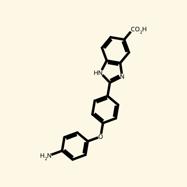 Nc1ccc(Oc2ccc(-c3nc4cc(C(=O)O)ccc4[nH]3)cc2)cc1